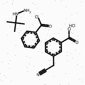 CC(C)(C)NN.Cl.N#CCc1cccc(C(=O)Cl)c1.O=C(Cl)c1ccccc1